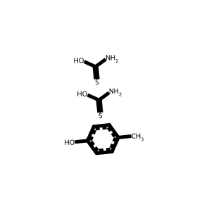 Cc1ccc(O)cc1.NC(O)=S.NC(O)=S